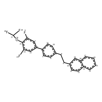 Fc1cc(-c2ccc(CCc3ccc4ccccc4c3)cc2)cc(F)c1OC(F)F